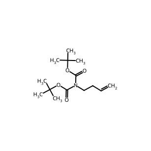 C=CCCN(C(=O)OC(C)(C)C)C(=O)OC(C)(C)C